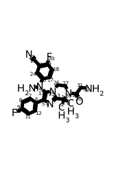 CC1(C)c2nc(-c3ccc(F)cc3)c(N(N)c3ccc(F)c(C#N)c3)n2CCN1C(=O)CN